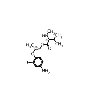 CN[C@H](C(=O)OC[C@@H](C)Oc1ccc(N)cc1F)C(C)C